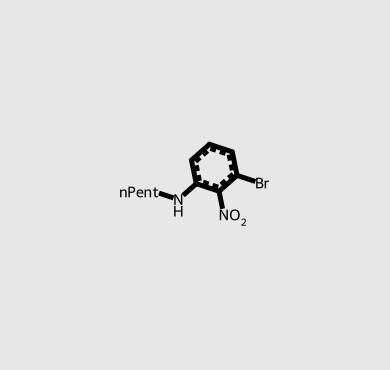 CCCCCNc1cccc(Br)c1[N+](=O)[O-]